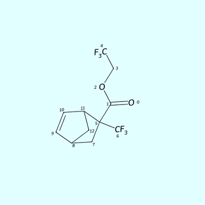 O=C(OCC(F)(F)F)C1(C(F)(F)F)CC2C=CC1C2